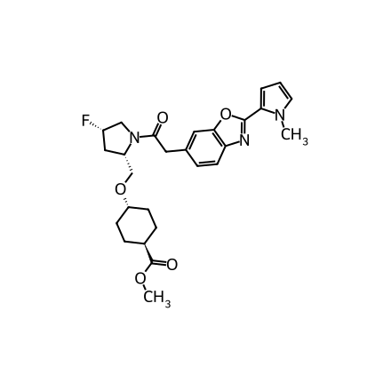 COC(=O)[C@H]1CC[C@H](OC[C@@H]2C[C@H](F)CN2C(=O)Cc2ccc3nc(-c4cccn4C)oc3c2)CC1